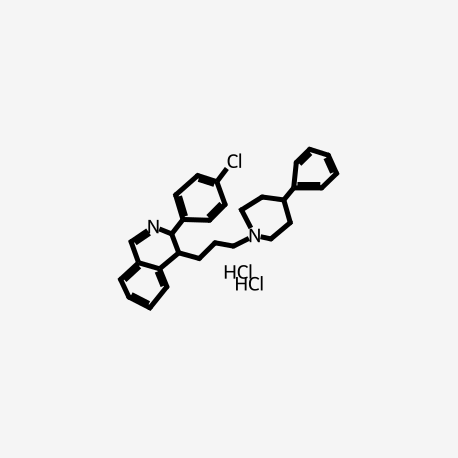 Cl.Cl.Clc1ccc(C2N=Cc3ccccc3C2CCCN2CCC(c3ccccc3)CC2)cc1